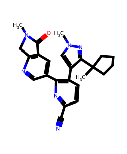 CN1Cc2ncc(-c3nc(C#N)ccc3-c3cn(C)nc3C3(C)CCCC3)cc2C1=O